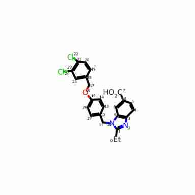 CCc1nc2ccc(C(=O)O)cc2n1Cc1ccc(OCc2ccc(Cl)c(Cl)c2)cc1